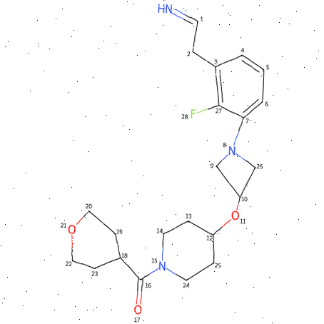 N=CCc1cccc(N2CC(OC3CCN(C(=O)C4CCOCC4)CC3)C2)c1F